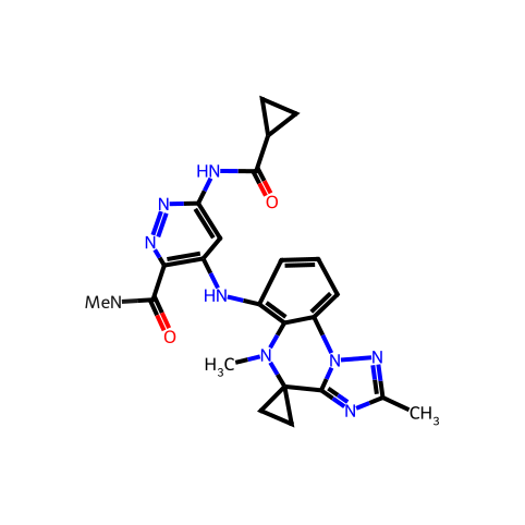 CNC(=O)c1nnc(NC(=O)C2CC2)cc1Nc1cccc2c1N(C)C1(CC1)c1nc(C)nn1-2